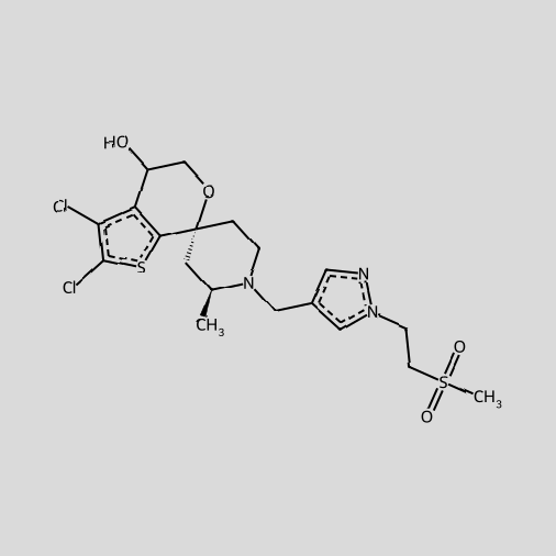 C[C@H]1C[C@@]2(CCN1Cc1cnn(CCS(C)(=O)=O)c1)OCC(O)c1c2sc(Cl)c1Cl